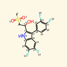 CS(=O)(=O)CC(O)c1[nH]c2cc(F)c(F)cc2c1-c1ccc(F)c(F)c1